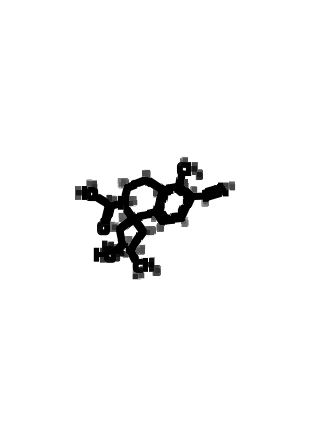 Cc1c(C#N)ccc2c1CCN(C(=O)O)C2(CCO)CC(C)C